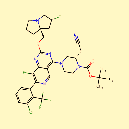 CC(C)(C)OC(=O)N1CCN(c2nc(OC[C@@]34CCCN3C[C@H](F)C4)nc3c(F)c(-c4cccc(Cl)c4C(F)(F)F)ncc23)C[C@@H]1CC#N